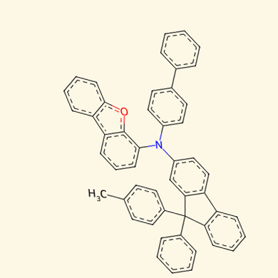 Cc1ccc(C2(c3ccccc3)c3ccccc3-c3ccc(N(c4ccc(-c5ccccc5)cc4)c4cccc5c4oc4ccccc45)cc32)cc1